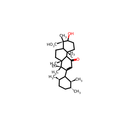 CC[C@]1(C)C(C2[C@H](C)CC[C@@H](C)[C@@H]2C)=CC(=O)C2[C@@]3(C)CCC(O)[C@](C)(C(=O)O)C3CC[C@]21C